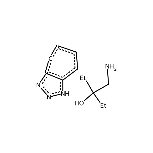 CCC(O)(CC)CN.c1ccc2[nH]nnc2c1